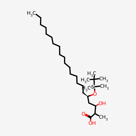 CCCCCCCCCCCCCCCCC[C@H](C[C@@H](O)C(C)C(=O)O)O[Si](C)(C)C(C)(C)C